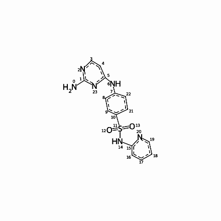 Nc1nccc(Nc2ccc(S(=O)(=O)Nc3ccccn3)cc2)n1